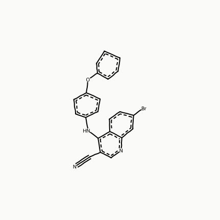 N#Cc1cnc2cc(Br)ccc2c1Nc1ccc(Oc2ccccc2)cc1